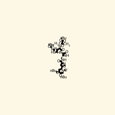 CCCCOc1cc(-c2cc(C(=O)NC[C@H]3NC(=O)[C@H]3NC(=O)/C(=N\OC(C)(C)C(=O)OC(C)(C)C)c3csc(NC(=O)OC(C)(C)C)n3)no2)[n+]([O-])cc1OCCCC